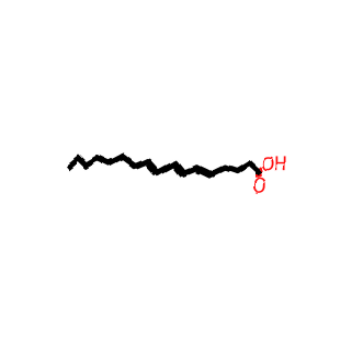 CCCCCCCC=CC=CC=CCCCC(=O)O